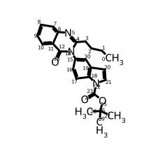 CCCCc1nc2ccccc2c(=O)n1-c1ccc2c(ccn2C(=O)OC(C)(C)C)c1